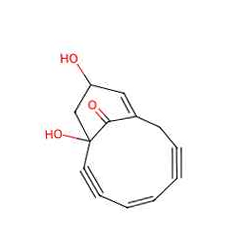 O=C1C2=CC(O)CC1(O)C#CC=CC#CC2